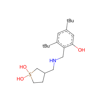 CC(C)(C)c1cc(O)c(CNCC2CCS(O)(O)C2)c(C(C)(C)C)c1